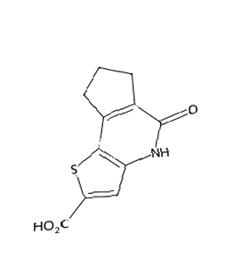 O=C(O)c1cc2[nH]c(=O)c3c(c2s1)CCC3